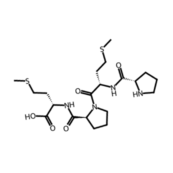 CSCC[C@H](NC(=O)[C@@H]1CCCN1C(=O)[C@H](CCSC)NC(=O)[C@@H]1CCCN1)C(=O)O